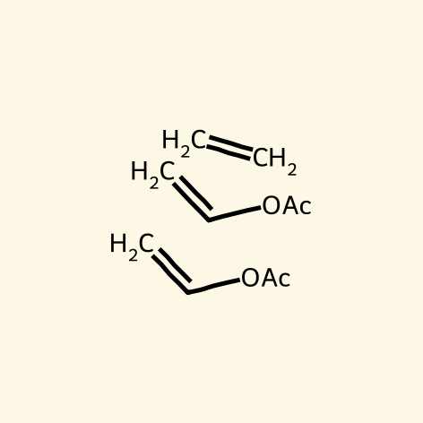 C=C.C=COC(C)=O.C=COC(C)=O